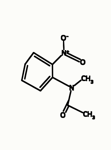 CC(=O)N(C)c1ccccc1[N+](=O)[O-]